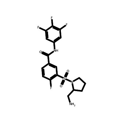 NCC1CCCN1S(=O)(=O)c1cc(C(=O)Nc2cc(F)c(F)c(F)c2)ccc1F